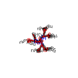 CCCCC(CCC)OC(=O)CCCCCCCCN(CCCCCCCCC=O)CCCNC(=O)C1CC(C(=O)NCCCN(CCCCCCCCC(=O)OC(CCC)CCCC)CCCCCCCCC(=O)OC(CCC)CCCC)CC(C(=O)NCCCN(CCCCCCCCC(=O)OC(CCC)CCCC)CCCCCCCCC(=O)OC(CCC)CCCC)C1